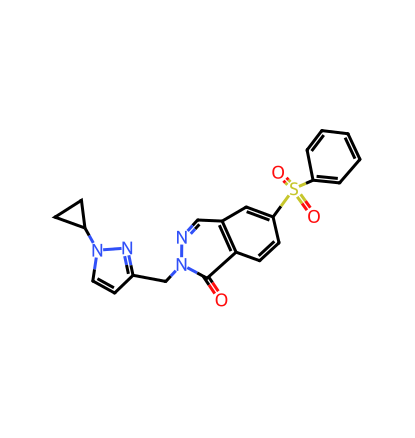 O=c1c2ccc(S(=O)(=O)c3ccccc3)cc2cnn1Cc1ccn(C2CC2)n1